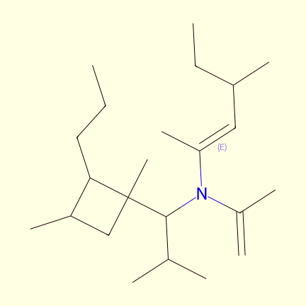 C=C(C)N(/C(C)=C/C(C)CC)C(C(C)C)C1(C)CC(C)C1CCC